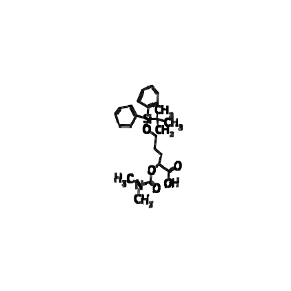 CN(C)C(=O)OC(CCCO[Si](c1ccccc1)(c1ccccc1)C(C)(C)C)C(=O)O